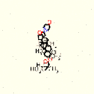 CC(C)(CC(=O)O)CC(=O)O[C@H]1CC[C@@]2(C)C(CC[C@]3(C)C2CC[C@@H]2[C@H]4CCC[C@]4(CC(=O)N4CCC(=O)CC4)CC[C@]23C)C1(C)C